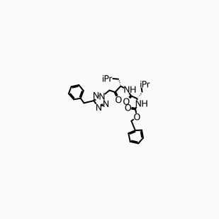 CC(C)C[C@H](NC(=O)[C@H](CC(C)C)NC(=O)OCc1ccccc1)C(=O)Cn1nnc(Cc2ccccc2)n1